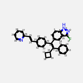 Fc1n[nH]c2ccc(C(=C(c3ccccc3)C3CCC3)c3ccc(C=Cc4ccccn4)cc3)cc12